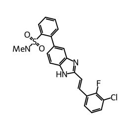 CNS(=O)(=O)c1ccccc1-c1ccc2[nH]c(C=Cc3cccc(Cl)c3F)nc2c1